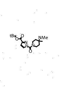 CNC1(C)CCN(C(=O)n2ccc(C(=O)OC(C)(C)C)n2)CC1